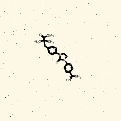 COC(=O)C(C)(C)Cc1ccc(N2CCN(c3ccc(C(=N)N)cc3)C2=O)cc1